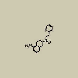 CCN(CCc1ccccn1)C1CCc2c(N)cccc2C1